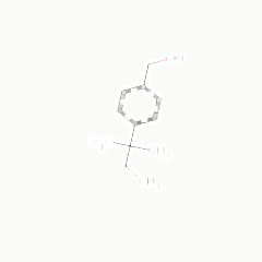 CCC(C)(C)c1ccc(CO)cc1